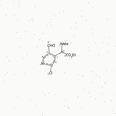 CCOC(=O)N(NC)c1cc(Cl)ncc1C=O